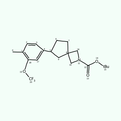 Cc1ccc(C2CCC3(C2)CN(C(=O)OC(C)(C)C)C3)cc1OC(F)(F)F